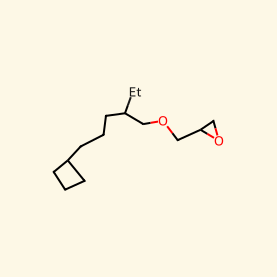 CCC(CCCC1CCC1)COCC1CO1